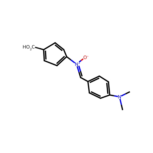 CN(C)c1ccc(C=[N+]([O-])c2ccc(C(=O)O)cc2)cc1